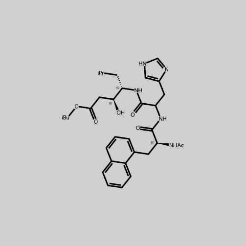 CCC(C)OC(=O)C[C@H](O)[C@H](CC(C)C)NC(=O)C(Cc1c[nH]cn1)NC(=O)[C@H](Cc1cccc2ccccc12)NC(C)=O